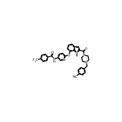 Cn1c(C(=O)N2CCN(Cc3ccc(C#N)cc3)CC2)cc2cccc(Oc3ccc(NC(=O)c4ccc(C(F)(F)F)cc4)cn3)c21